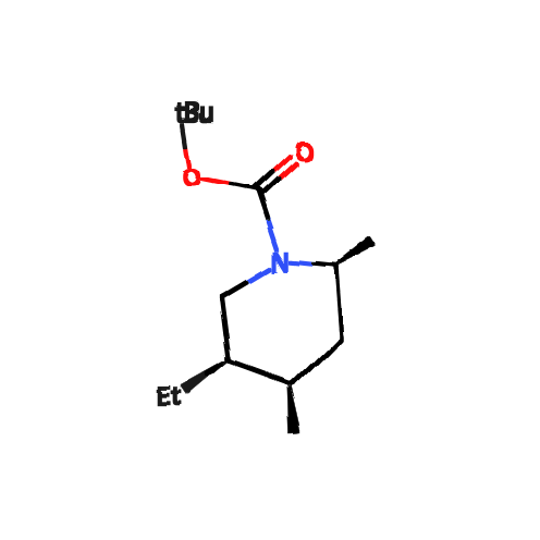 CC[C@H]1CN(C(=O)OC(C)(C)C)[C@@H](C)C[C@H]1C